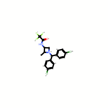 CC1C(NC(=O)C(F)(F)F)CN1C(c1ccc(Cl)cc1)c1ccc(Cl)cc1